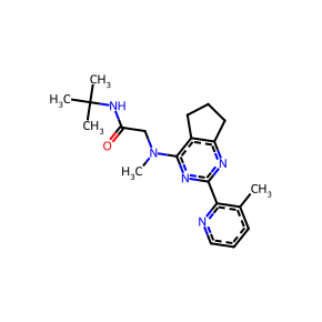 Cc1cccnc1-c1nc2c(c(N(C)CC(=O)NC(C)(C)C)n1)CCC2